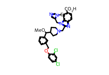 CCn1cncc1Cn1c(CN2CCC(C(OC)c3cccc(COc4ccc(Cl)cc4Cl)c3)CC2)nc2ccc(C(=O)O)cc21